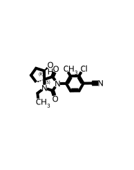 CCN1C(=O)N(c2ccc(C#N)c(Cl)c2C)C(=O)[C@@]12CCC[C@H]2O